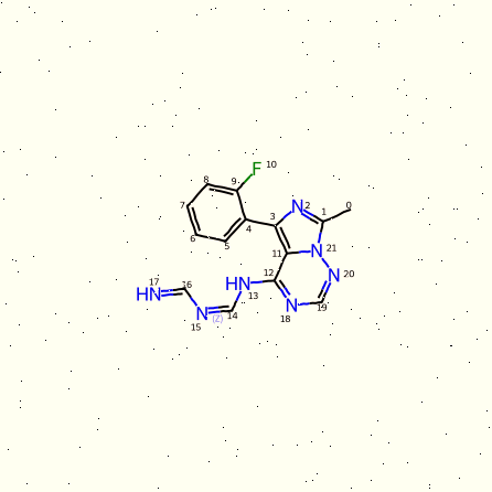 Cc1nc(-c2ccccc2F)c2c(N/C=N\C=N)ncnn12